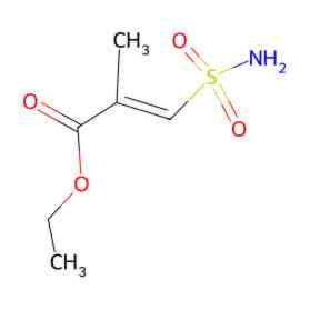 CCOC(=O)C(C)=CS(N)(=O)=O